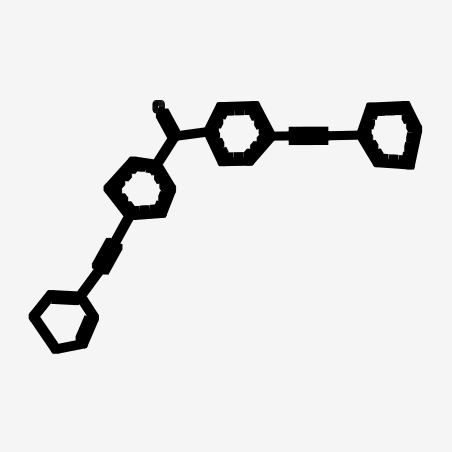 O=C(c1ccc(C#CC2=CCCC=C2)cc1)c1ccc(C#Cc2ccccc2)cc1